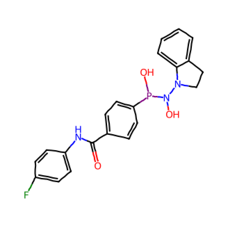 O=C(Nc1ccc(F)cc1)c1ccc(P(O)N(O)N2CCc3ccccc32)cc1